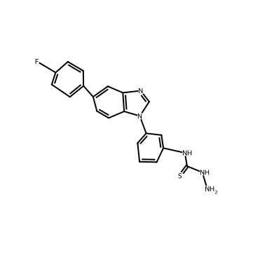 NNC(=S)Nc1cccc(-n2cnc3cc(-c4ccc(F)cc4)ccc32)c1